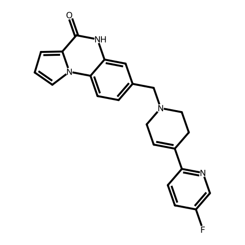 O=c1[nH]c2cc(CN3CC=C(c4ccc(F)cn4)CC3)ccc2n2cccc12